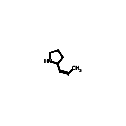 C/[C]=C\C1CCCN1